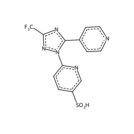 O=S(=O)(O)c1ccc(-n2nc(C(F)(F)F)nc2-c2ccncc2)nc1